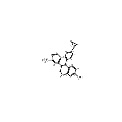 Cc1cccc(C2COc3cc(O)ccc3C2c2ccc(N3CC3)cc2)c1